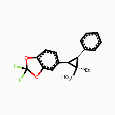 CC[C@@]1(C(=O)O)[C@@H](c2ccccc2)[C@@H]1c1ccc2c(c1)OC(F)(F)O2